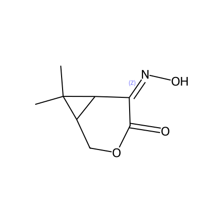 CC1(C)C2COC(=O)/C(=N\O)C21